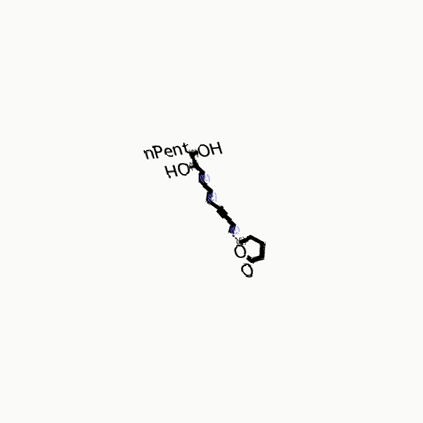 CCCCC[C@H](O)[C@H](O)/C=C/C=C/C#C/C=C/[C@@H]1CCCC(=O)O1